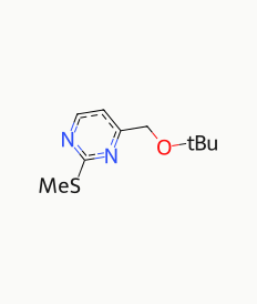 CSc1nccc(COC(C)(C)C)n1